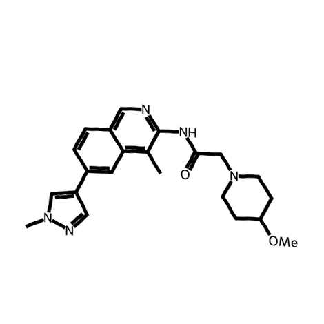 COC1CCN(CC(=O)Nc2ncc3ccc(-c4cnn(C)c4)cc3c2C)CC1